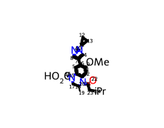 COc1cc2c(cc1-c1cnn(C3CC3)c1)N(C(=O)O)C[C@H](C)N2C(=O)CC(C)C